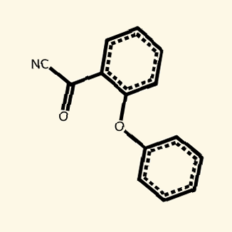 N#CC(=O)c1ccccc1Oc1ccccc1